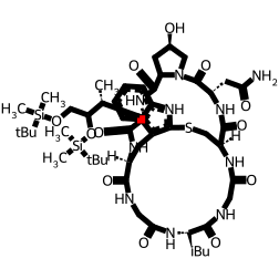 CC[C@H](C)[C@@H]1NC(=O)CNC(=O)[C@@H]2Cc3c([nH]c4ccccc34)SC[C@H](NC(=O)CNC1=O)C(=O)N[C@@H](CC(N)=O)C(=O)N1C[C@H](O)CC1C(=O)N[C@@H]([C@@H](C)C(CO[Si](C)(C)C(C)(C)C)O[Si](C)(C)C(C)(C)C)C(=O)N2